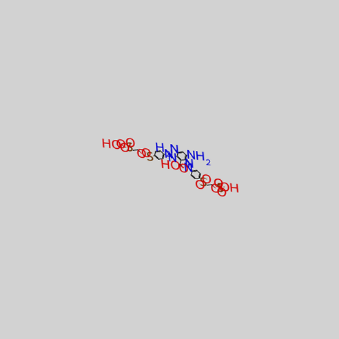 Nc1cc(N)c(N=Nc2ccc(S(=O)(=O)CCOS(=O)(=O)O)cc2)c(C(=O)O)c1N=Nc1ccc(SOOCCS(=O)OOO)cc1